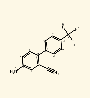 N#Cc1cc(N)ccc1-c1ccc(C(F)(F)F)cc1